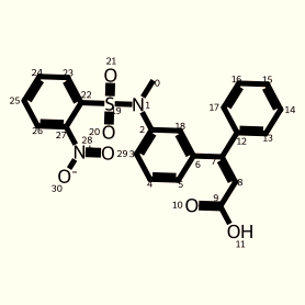 CN(c1cccc(/C(=C\C(=O)O)c2ccccc2)c1)S(=O)(=O)c1ccccc1[N+](=O)[O-]